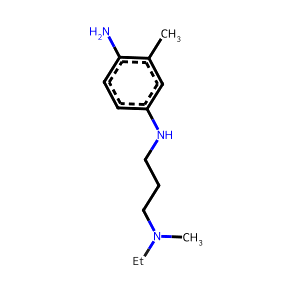 CCN(C)CCCNc1ccc(N)c(C)c1